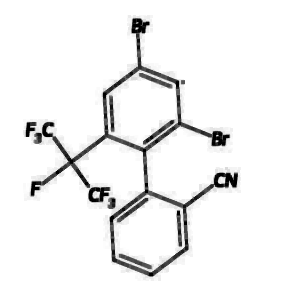 N#Cc1ccccc1-c1c(Br)[c]c(Br)cc1C(F)(C(F)(F)F)C(F)(F)F